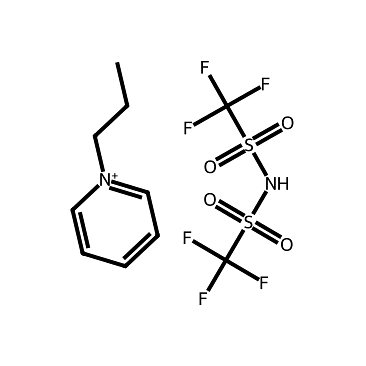 CCC[n+]1ccccc1.O=S(=O)(NS(=O)(=O)C(F)(F)F)C(F)(F)F